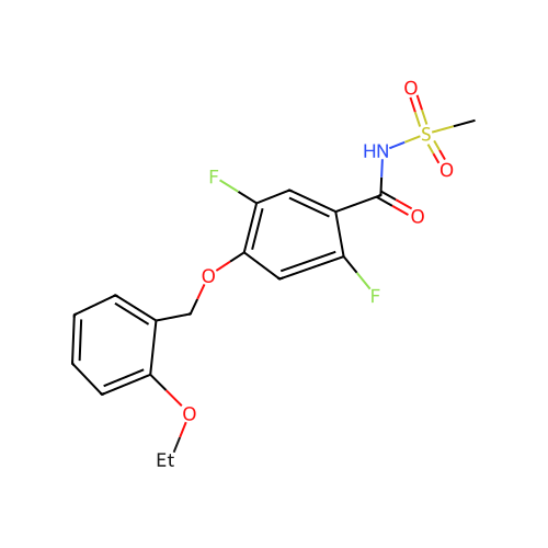 CCOc1ccccc1COc1cc(F)c(C(=O)NS(C)(=O)=O)cc1F